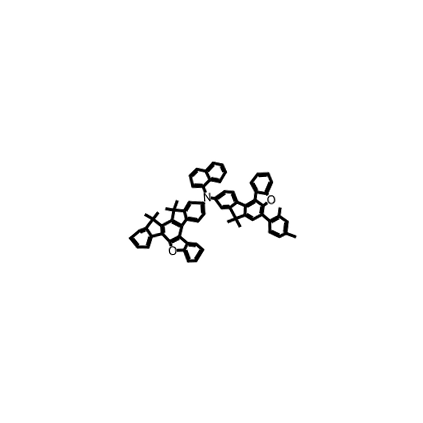 Cc1ccc(-c2cc3c(c4c2oc2ccccc24)-c2ccc(N(c4ccc5c(c4)C(C)(C)c4c6c(c7oc8ccccc8c7c4-5)-c4ccccc4C6(C)C)c4cccc5ccccc45)cc2C3(C)C)c(C)c1